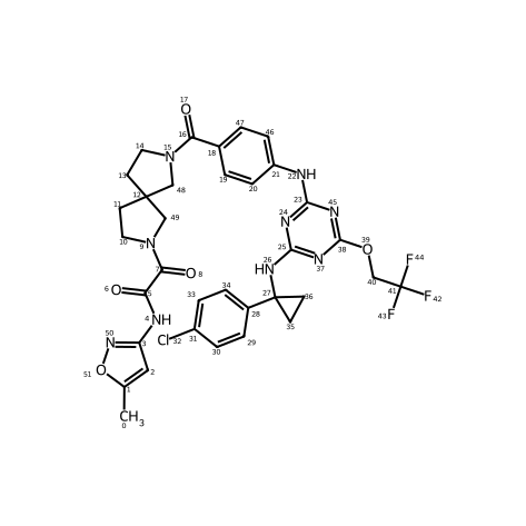 Cc1cc(NC(=O)C(=O)N2CCC3(CCN(C(=O)c4ccc(Nc5nc(NC6(c7ccc(Cl)cc7)CC6)nc(OCC(F)(F)F)n5)cc4)C3)C2)no1